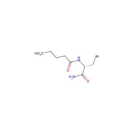 CC(C)C[C@@H](NC(=O)CCCC(=O)O)C(N)=O